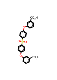 O=C(O)c1cccc(Oc2ccc(S(=O)(=O)c3ccc(Oc4cccc(C(=O)O)c4)cc3)cc2)c1